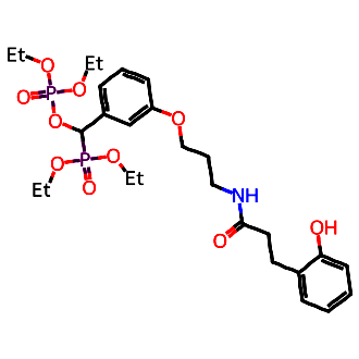 CCOP(=O)(OCC)OC(c1cccc(OCCCNC(=O)CCc2ccccc2O)c1)P(=O)(OCC)OCC